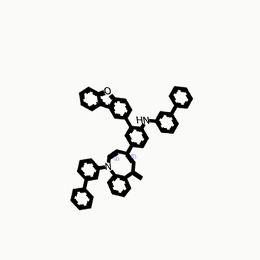 C=C1/C=C(c2ccc(Nc3cccc(-c4ccccc4)c3)c(-c3ccc4oc5ccccc5c4c3)c2)\C=C/N(c2cccc(-c3ccccc3)c2)c2ccccc21